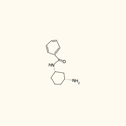 N[C@@H]1CCC[C@H](NC(=O)c2ccccc2)C1